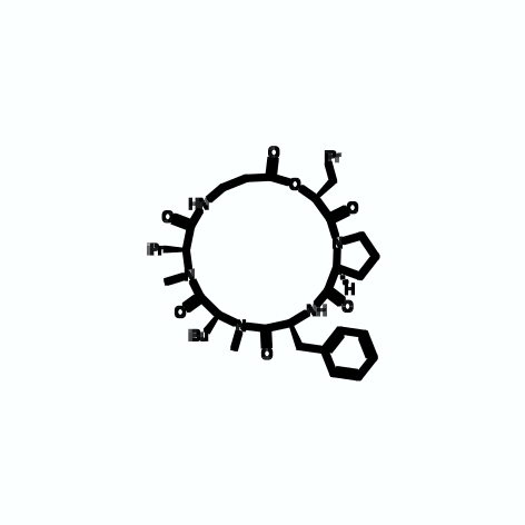 CCC(C)[C@H]1C(=O)N(C)[C@@H](C(C)C)C(=O)NCCC(=O)O[C@@H](CC(C)C)C(=O)N2CCC[C@H]2C(=O)N[C@@H](Cc2ccccc2)C(=O)N1C